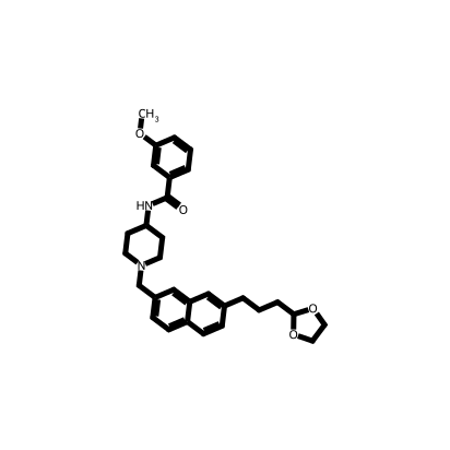 COc1cccc(C(=O)NC2CCN(Cc3ccc4ccc(CCCC5OCCO5)cc4c3)CC2)c1